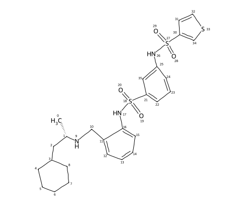 C[C@@H](CC1CCCCC1)NCc1ccccc1NS(=O)(=O)c1cccc(NS(=O)(=O)c2ccsc2)c1